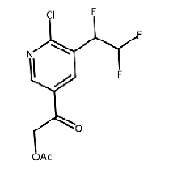 CC(=O)OCC(=O)c1cnc(Cl)c(C(F)C(F)F)c1